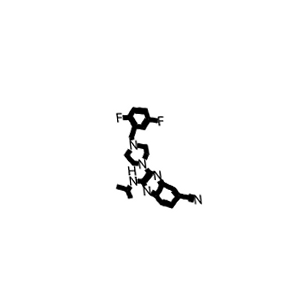 CC(C)Nc1nc2ccc(C#N)cc2nc1N1CCN(Cc2cc(F)ccc2F)CC1